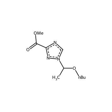 CCCCOC(C)n1cnc(C(=O)OC)n1